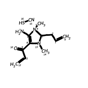 C=CCC1N(C)C(N)=C(C(=O)C=C)N1C.N#CS